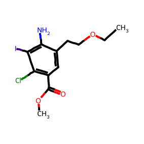 CCOCCc1cc(C(=O)OC)c(Cl)c(I)c1N